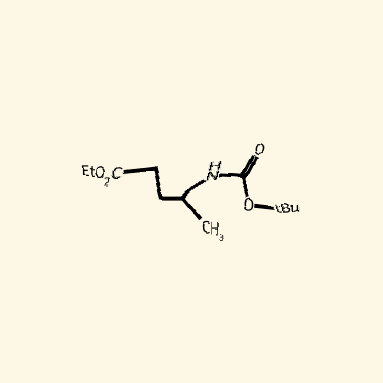 CCOC(=O)CCC(C)NC(=O)OC(C)(C)C